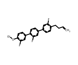 C=CCCc1ccc(-c2ccc(-c3ccc(OCC)c(F)c3)c(F)c2)cc1F